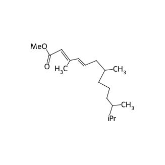 COC(=O)/C=C(C)/C=C/CC(C)CCCC(C)C(C)C